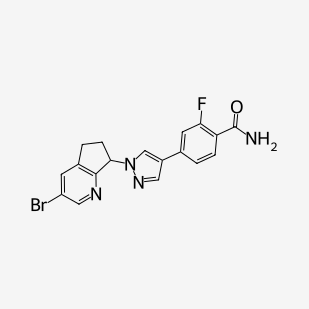 NC(=O)c1ccc(-c2cnn(C3CCc4cc(Br)cnc43)c2)cc1F